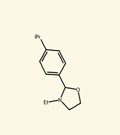 CCN1CCOC1c1ccc(C(C)C)cc1